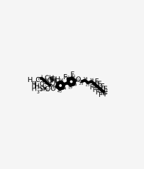 CCC(C)(C)C(C)(C)C(O[SiH3])(O[SiH3])Oc1ccc(-c2ccc(OCCCCC(F)(F)C(F)(F)C(F)(F)C(F)(F)F)c(F)c2F)cc1